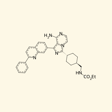 CCOC(=O)NC[C@H]1CC[C@H](c2nc(-c3ccc4ccc(-c5ccccc5)nc4c3)c3c(N)nccn32)CC1